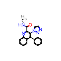 CNC(=O)c1nc2ccccc2c(-c2ccccc2)c1-n1ccnn1